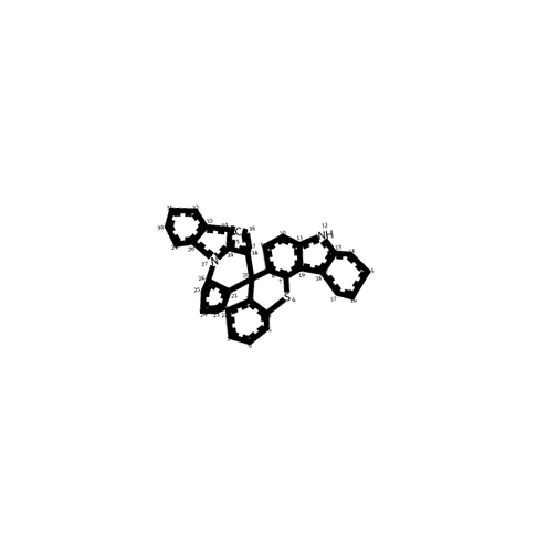 c1ccc2c(c1)Sc1c(ccc3[nH]c4ccccc4c13)C21c2ccccc2-n2c3ccccc3c3cccc1c32